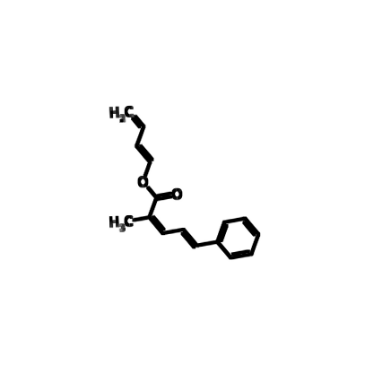 C=CC=COC(=O)C(C)=CC=Cc1ccccc1